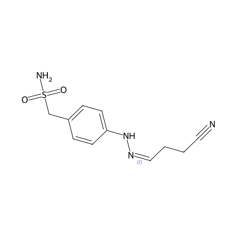 N#CCC/C=N\Nc1ccc(CS(N)(=O)=O)cc1